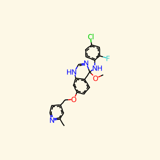 COC1(Nc2ccc(Cl)cc2F)N=CNc2cc(OCc3ccnc(C)c3)ccc21